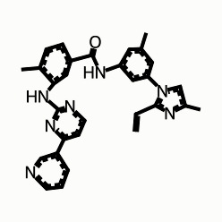 C=Cc1nc(C)cn1-c1cc(C)cc(NC(=O)c2ccc(C)c(Nc3nccc(-c4cccnc4)n3)c2)c1